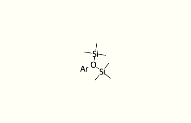 C[Si](C)(C)O[Si](C)(C)C.[Ar]